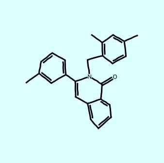 Cc1cccc(-c2cc3ccccc3c(=O)n2Cc2ccc(C)cc2C)c1